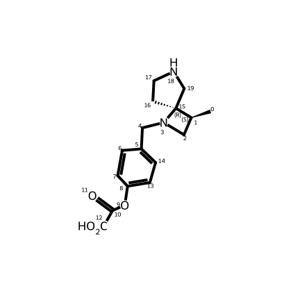 C[C@H]1CN(Cc2ccc(OC(=O)C(=O)O)cc2)[C@]12CCNC2